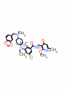 CCN(c1cc(Cl)cc(C(=O)NCc2c(OC)[nH]c(C)cc2=O)c1C)[C@H]1CC[C@H](N(C)Cc2ccc3c(c2)OCO3)CC1